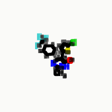 Cc1nc([C@H]2CC[C@@H](C(F)(F)F)CC2)c(-c2ccc(Cl)s2)c(=O)[nH]1